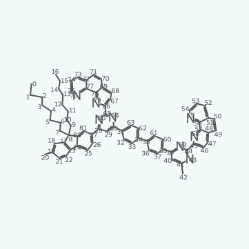 CCCCCCCCC1(CCCCCCCC)c2cc(C)ccc2-c2ccc(-c3cc(-c4ccc(-c5ccc(-c6cc(C)nc(-c7ccc8ccc9cccnc9c8n7)n6)cc5)cc4)nc(-c4ccc5ccc6cccnc6c5n4)n3)cc21